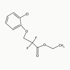 CCOC(=O)C(F)(F)COc1ccccc1Cl